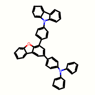 c1ccc(N(c2ccccc2)c2ccc(-c3cc(-c4ccc(-n5c6ccccc6c6ccccc65)cc4)c4oc5ccccc5c4c3)cc2)cc1